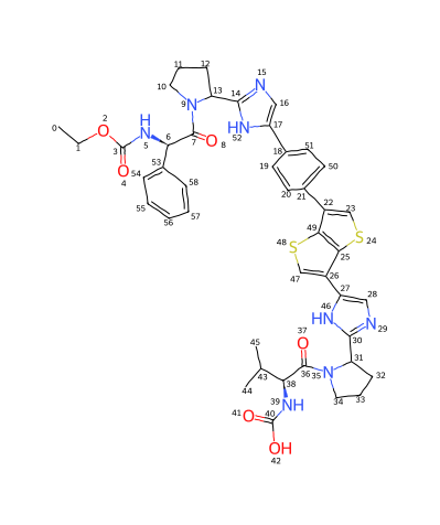 CCOC(=O)N[C@@H](C(=O)N1CCCC1c1ncc(-c2ccc(-c3csc4c(-c5cnc(C6CCCN6C(=O)[C@@H](NC(=O)O)C(C)C)[nH]5)csc34)cc2)[nH]1)c1ccccc1